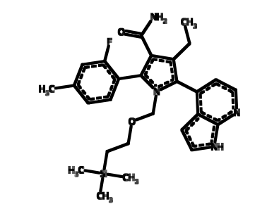 CCc1c(C(N)=O)c(-c2ccc(C)cc2F)n(COCC[Si](C)(C)C)c1-c1ccnc2[nH]ccc12